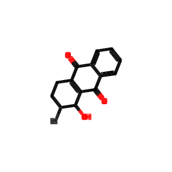 CCC1CCC2=C(C(=O)c3ccccc3C2=O)C1O